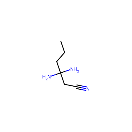 CCCC(N)(N)CC#N